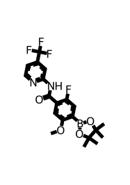 COc1cc(C(=O)Nc2cc(C(F)(F)F)ccn2)c(F)cc1B1OC(C)(C)C(C)(C)O1